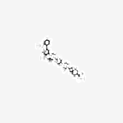 C[C@H]1CN(c2cnc(N3CCN4c5cc(-c6ccccc6O)nnc5NC[C@H]4C3)nc2)CCN1C1CC2(CCC(C(=O)O)CC2)C1